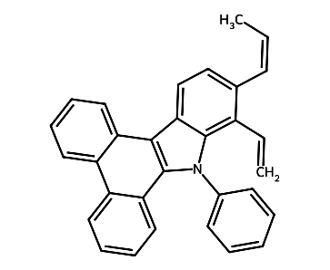 C=Cc1c(/C=C\C)ccc2c3c4ccccc4c4ccccc4c3n(-c3ccccc3)c12